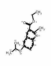 CCOC(=O)c1cc2cc(OC(C)C)ccc2nc1C